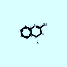 CCC1=Nc2ccccc2[C@@H](C)C1